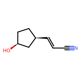 N#C/C=C/[C@@H]1CC[C@H](O)C1